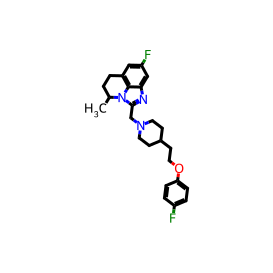 CC1CCc2cc(F)cc3nc(CN4CCC(CCOc5ccc(F)cc5)CC4)n1c23